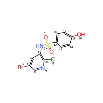 O=S(=O)(Nc1cc(Br)cnc1Cl)c1ccc(O)cc1